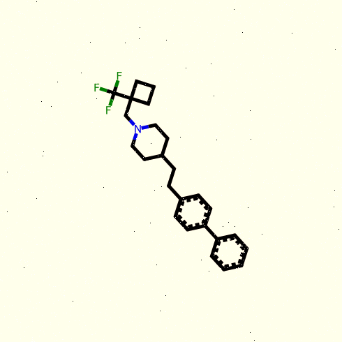 FC(F)(F)C1(CN2CCC(CCc3ccc(-c4ccccc4)cc3)CC2)CCC1